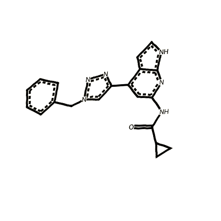 O=C(Nc1cc(-c2cn(Cc3ccccc3)nn2)c2cc[nH]c2n1)C1CC1